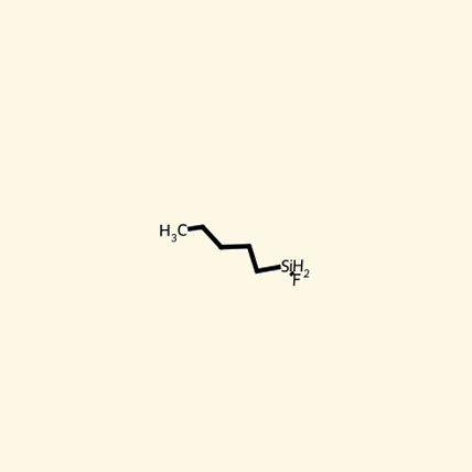 CCCCC[SiH2]F